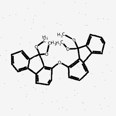 COC1(OC)c2ccccc2-c2cccc(Oc3cccc4c3C(OC)(OC)c3ccccc3-4)c21